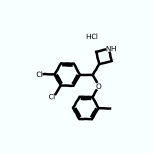 Cc1ccccc1OC(c1ccc(Cl)c(Cl)c1)C1CNC1.Cl